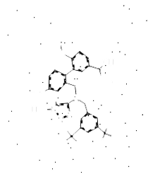 COc1ccc(C(C)C)cc1-c1ccc(C)cc1CN(Cc1cc(C(F)(F)F)cc(C(F)(F)F)c1)c1nnn(C)n1